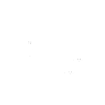 COc1cc2ccc(C(=O)N3CCCC3)cc2cc1OC